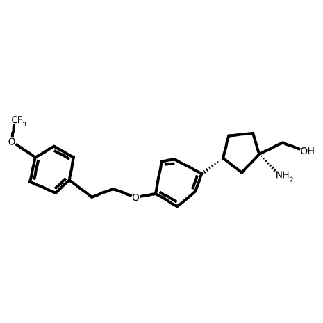 N[C@@]1(CO)CC[C@@H](c2ccc(OCCc3ccc(OC(F)(F)F)cc3)cc2)C1